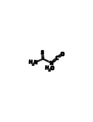 NC(=S)N=C=O.O